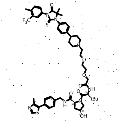 Cc1ccc(N2C(=O)C(C)(C)N(c3ccc(C4CCN(CCOCCOCC(=O)N[C@H](C(=O)N5C[C@H](O)C[C@H]5C(=O)NCc5ccc(-c6scnc6C)cc5)C(C)(C)C)CC4)cc3)C2=S)cc1C(F)(F)F